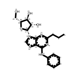 CCCc1nc(Nc2ccccc2)c2ncn([C@@H]3O[C@H](CO)[C@@H](O)[C@@H]3O)c2n1